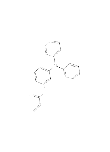 C=CC(=O)Oc1cccc(N(c2ccccc2)c2ccccc2)c1